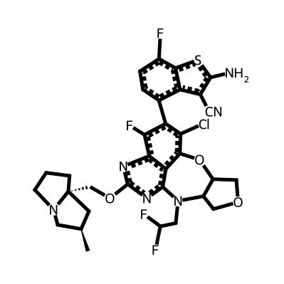 C[C@H]1CN2CCC[C@@]2(COc2nc3c4c(c(Cl)c(-c5ccc(F)c6sc(N)c(C#N)c56)c(F)c4n2)OC2COCC2N3CC(F)F)C1